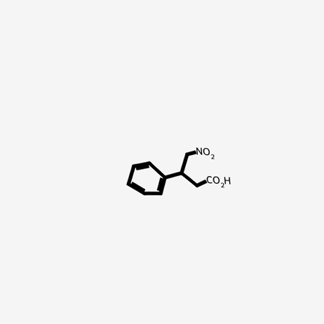 O=C(O)CC(C[N+](=O)[O-])c1ccccc1